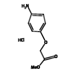 COC(=O)COc1ccc(N)cc1.Cl